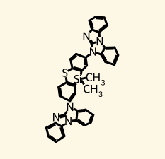 C[Si]1(C)c2cc(-n3c4ccccc4n4c5ccccc5nc34)ccc2Sc2ccc(-n3c4ccccc4n4c5ccccc5nc34)cc21